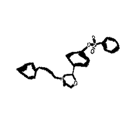 O=S(=O)(Oc1ccc([C@@H]2CN(CCc3ccccc3)CCO2)cc1)c1ccccc1